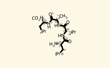 CC(C)C[C@H](NC(=O)[C@H](C)NC(=O)[C@@H](NC(=O)[C@@H](N)CC(C)C)C(C)C)C(=O)O